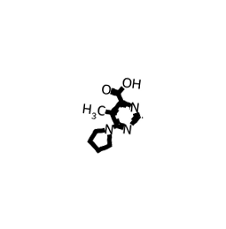 Cc1c(C(=O)O)n[c]nc1N1CCCC1